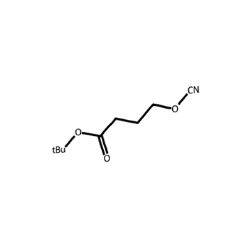 CC(C)(C)OC(=O)CCCOC#N